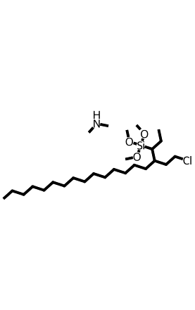 CCCCCCCCCCCCCCCC(CCCl)C(CC)[Si](OC)(OC)OC.CNC